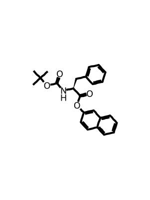 CC(C)(C)OC(=O)N[C@@H](Cc1ccccc1)C(=O)Oc1ccc2ccccc2c1